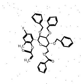 C=CC(=O)Oc1c(C)cc(F)cc1[C@H]1O[C@H](COC(=O)c2ccccc2)[C@@H](OCc2ccccc2)[C@H](OCc2ccccc2)[C@@H]1OCc1ccccc1